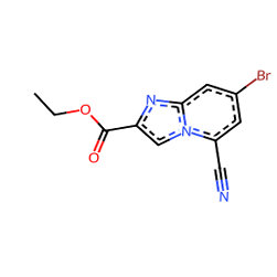 CCOC(=O)c1cn2c(C#N)cc(Br)cc2n1